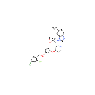 Cc1ccc2nc(CN3CCC(Oc4cccc(OCc5ccc(Cl)cc5F)c4)CC3)n(C[C@@H]3CCO3)c2c1